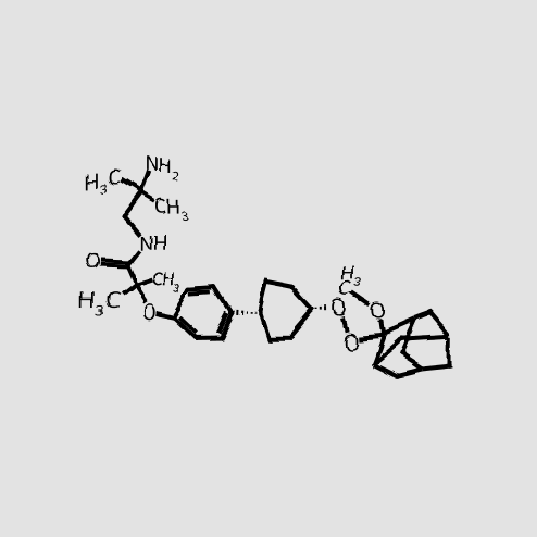 COC1(OO[C@H]2CC[C@@H](c3ccc(OC(C)(C)C(=O)NCC(C)(C)N)cc3)CC2)C2CC3CC(C2)CC1C3